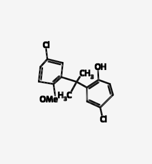 COc1ccc(Cl)cc1C(C)(C)c1cc(Cl)ccc1O